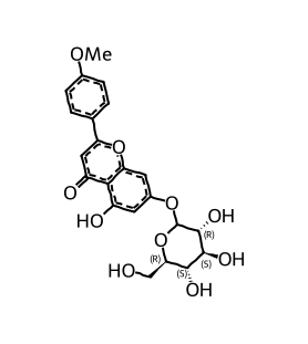 COc1ccc(-c2cc(=O)c3c(O)cc(OC4O[C@H](CO)[C@@H](O)[C@H](O)[C@H]4O)cc3o2)cc1